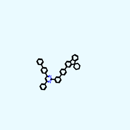 c1ccc(-c2ccc(-c3cc(-c4ccccc4)nc(-c4cccc(-c5ccc(-c6ccc7c(c6)C6(CCCCC6)c6ccccc6-7)cc5)c4)n3)cc2)cc1